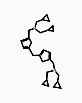 C1=C(CC2=CC=C(CN(CC3CC3)CC3CC3)C2)CC(CN(CC2CC2)CC2CC2)=C1